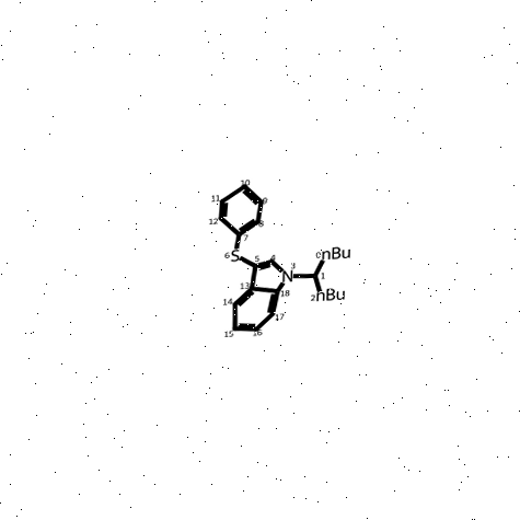 CCCCC(CCCC)n1cc(Sc2ccccc2)c2ccccc21